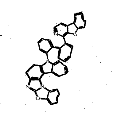 c1ccc(-c2nccc3c2oc2ccccc23)c(-c2ccccc2-n2c3ccccc3c3c2ccc2nc4oc5ccccc5n4c23)c1